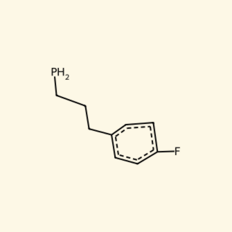 Fc1ccc(CCCP)cc1